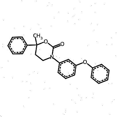 CC1(c2ccccc2)CCN(c2cccc(Oc3ccccc3)c2)C(=O)O1